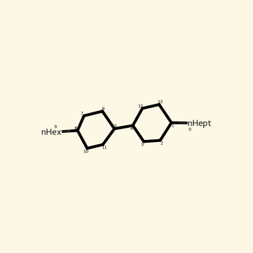 CCCCCCCC1CCC(C2CCC(CCCCCC)CC2)CC1